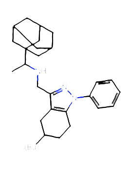 CC(NCc1nn(-c2ccccc2)c2c1CC(C(C)(C)C)CC2)C12CC3CC(CC(C3)C1)C2